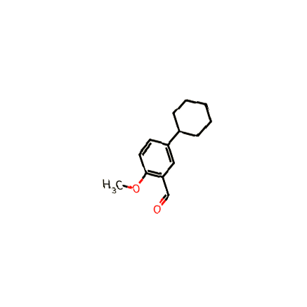 COc1ccc(C2CCCCC2)cc1C=O